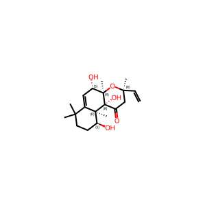 C=C[C@@]1(C)CC(=O)[C@]2(O)[C@](C)(O1)[C@@H](O)C=C1C(C)(C)CC[C@H](O)[C@@]12C